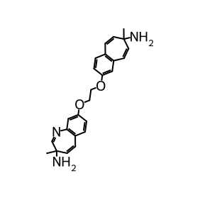 CC1(N)C=Cc2ccc(OCCOc3ccc4c(c3)N=CC(C)(N)C=C4)cc2C=C1